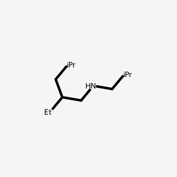 CCC(CNCC(C)C)CC(C)C